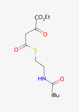 CCOC(=O)C(=O)CC(=O)SCCNC(=O)C(C)CC